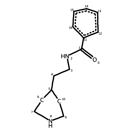 O=C(NCCC1CCNCC1)c1cc[c]cc1